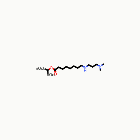 CCCCCCCCC(CCCCCCCC)OC(=O)CCCCCCCNCCCN(C)C